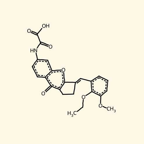 CCOc1c(C=C2CCc3c2oc2cc(NC(=O)C(=O)O)ccc2c3=O)cccc1OC